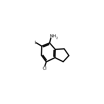 Nc1c(I)cc(Cl)c2c1CCC2